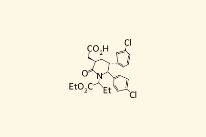 CCOC(=O)C(CC)N1C(=O)[C@@H](CC(=O)O)C[C@H](c2cccc(Cl)c2)C1c1ccc(Cl)cc1